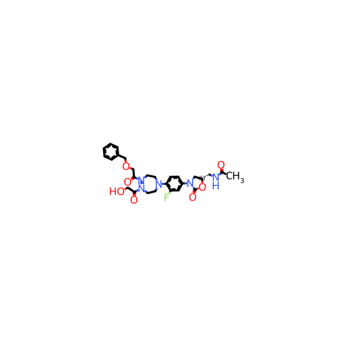 CC(=O)NC[C@H]1CN(c2ccc(N3CCN(C(=O)CO)N(C(=O)COCc4ccccc4)CC3)c(F)c2)C(=O)O1